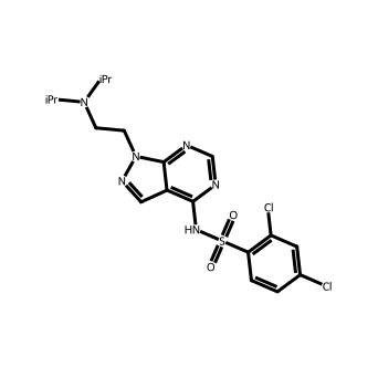 CC(C)N(CCn1ncc2c(NS(=O)(=O)c3ccc(Cl)cc3Cl)ncnc21)C(C)C